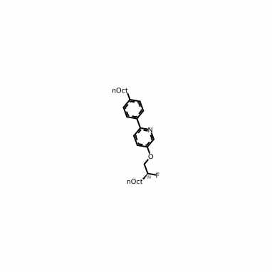 CCCCCCCCc1ccc(-c2ccc(OC[C@@H](F)CCCCCCCC)cn2)cc1